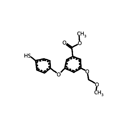 COCOc1cc(Oc2ccc(S)cc2)cc(C(=O)OC)c1